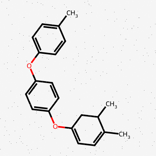 CC1=CC=C(Oc2ccc(Oc3ccc(C)cc3)cc2)CC1C